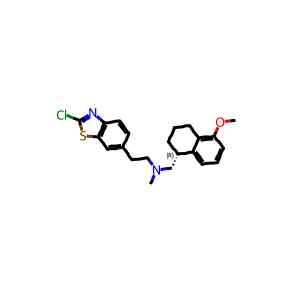 COc1cccc2c1CCC[C@H]2CN(C)CCc1ccc2nc(Cl)sc2c1